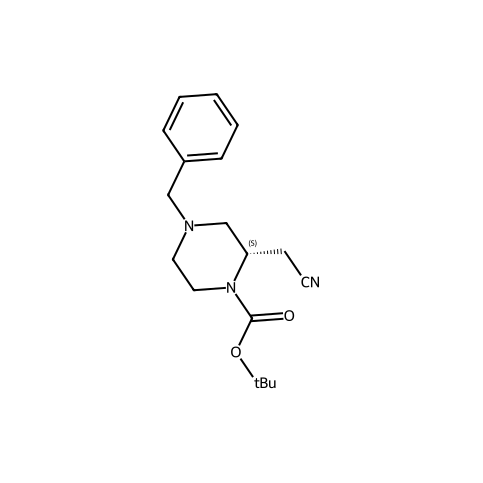 CC(C)(C)OC(=O)N1CCN(Cc2ccccc2)C[C@@H]1CC#N